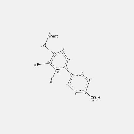 CCCCCOc1ccc(-c2ccc(C(=O)O)cc2)c(F)c1F